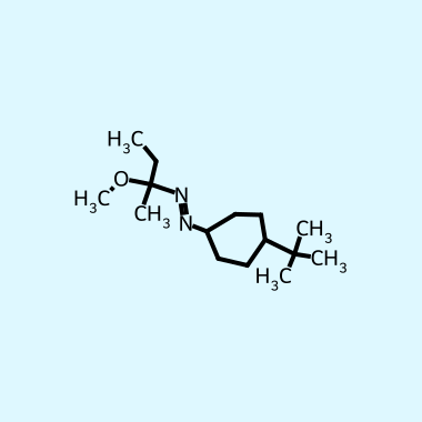 CCC(C)(N=NC1CCC(C(C)(C)C)CC1)OC